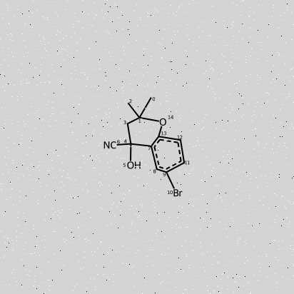 CC1(C)CC(O)(C#N)c2cc(Br)ccc2O1